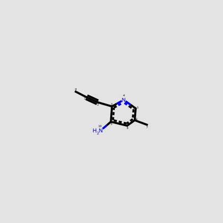 CC#Cc1ncc(C)cc1N